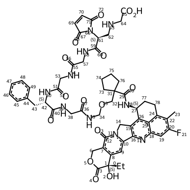 CC[C@@]1(O)C(=O)OCc2c1cc1n(c2=O)Cc2c-1nc1cc(F)c(C)c3c1c2[C@@H](NC(=O)C1(COCNC(=O)CNC(=O)[C@H](Cc2ccccc2)NC(=O)CNC(=O)CNC(=O)[C@H](CNCC(=O)O)N2C(=O)C=CC2=O)CCCC1)CC3